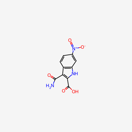 NC(=O)c1c(C(=O)O)[nH]c2cc([N+](=O)[O-])ccc12